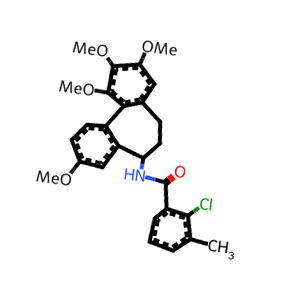 COc1ccc2c(c1)C(NC(=O)c1cccc(C)c1Cl)CCc1cc(OC)c(OC)c(OC)c1-2